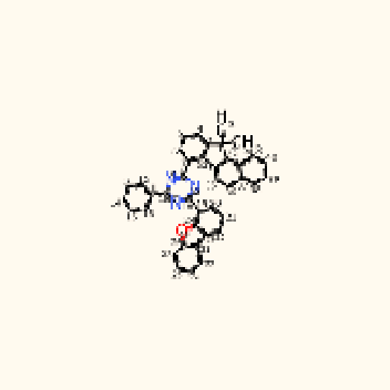 CC1(C)c2cccc(-c3nc(-c4ccccc4)nc(-c4cccc5c4oc4ccccc45)n3)c2-c2ccc3ccccc3c21